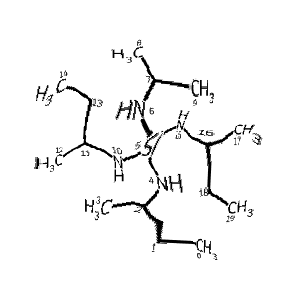 CCC(C)N[Si](NC(C)C)(NC(C)CC)NC(C)CC